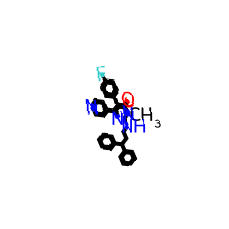 Cn1c(NCCC(c2ccccc2)c2ccccc2)nc(-c2ccncc2)c(-c2ccc(F)cc2)c1=O